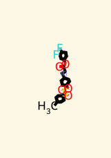 Cc1ccc(S(=O)(=O)Oc2ccc(/C=C/C(=O)Oc3ccc(F)c(F)c3)cc2)cc1